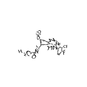 C=CC(=O)N1CC(c2cc3c(Nc4ccc(F)c(Cl)c4F)ncnc3cc2O[C@H]2CCOC2)C1